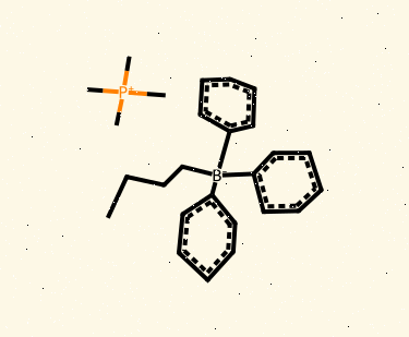 CCCC[B-](c1ccccc1)(c1ccccc1)c1ccccc1.C[P+](C)(C)C